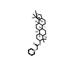 CC1(C)CC[C@]23CC[C@]4(C)[C@H](CC[C@@H]5[C@@]6(C)CCC(OC(=O)C[n+]7ccccc7)C(C)(C)[C@@H]6CC[C@]54C)[C@@H]2[C@H]1OC3